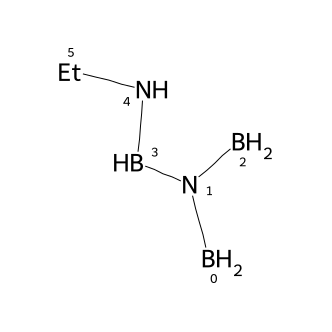 BN(B)BNCC